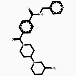 CC1CCCN(C2CCN(C(=O)c3ccc(C(=O)NCc4ccncc4)cc3)CC2)C1